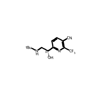 CC(C)(C)NC[C@@H](O)c1ccc(C#N)c(C(F)(F)F)n1